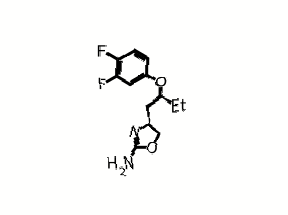 CC[C@@H](C[C@H]1COC(N)=N1)Oc1ccc(F)c(F)c1